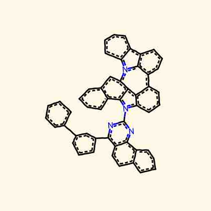 c1ccc(-c2cccc(-c3nc(-n4c5cccc6c7cccc8c9ccccc9n(c9cc%10ccccc%10c4c9c65)c78)nc4c3ccc3ccccc34)c2)cc1